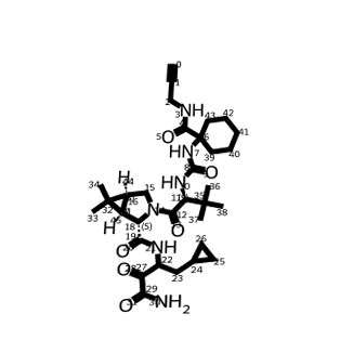 C#CCNC(=O)C1(NC(=O)N[C@H](C(=O)N2C[C@H]3[C@@H]([C@H]2C(=O)NC(CC2CC2)C(=O)C(N)=O)C3(C)C)C(C)(C)C)CCCCC1